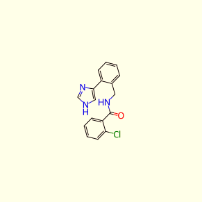 O=C(NCc1ccccc1-c1c[nH]cn1)c1ccccc1Cl